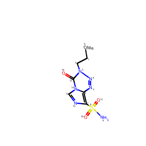 COCCn1nnc2c(S(N)(=O)=O)ncn2c1=O